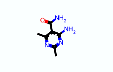 Cc1nc(C)c(C(N)=O)c(N)n1